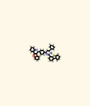 c1ccc(-c2cc(-c3ccc(-c4nc5ccccc5c5oc6ccccc6c45)cc3)nc(-c3cccc4c3sc3ccccc34)n2)cc1